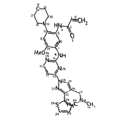 C=CC(=O)Nc1cc(Nc2nccc(-n3cc(CN(C)C)c(-c4cccs4)n3)n2)c(OC)cc1N1CCOCC1